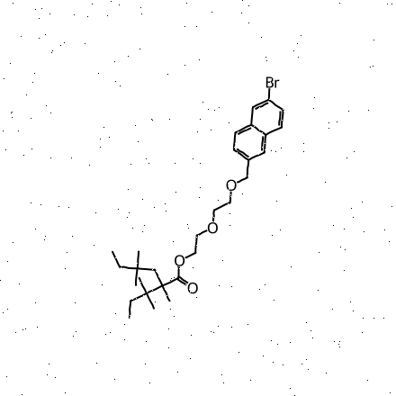 CCC(C)(C)CC(C)(C(=O)OCCOCCOCc1ccc2cc(Br)ccc2c1)C(C)(C)CC